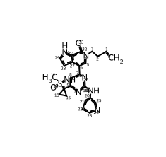 C=CCCn1cc(-c2cc(C3(S(C)(=N)=O)CC3)nc(Nc3cccnc3)n2)c2cc[nH]c2c1=O